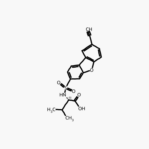 C#Cc1ccc2oc3cc(S(=O)(=O)N[C@H](C(=O)O)C(C)C)ccc3c2c1